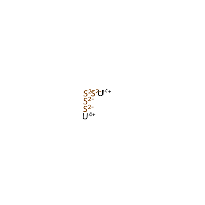 [S-2].[S-2].[S-2].[S-2].[U+4].[U+4]